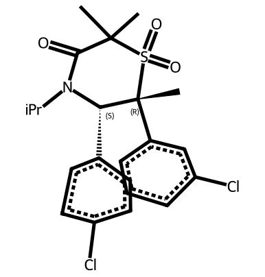 CC(C)N1C(=O)C(C)(C)S(=O)(=O)[C@](C)(c2cccc(Cl)c2)[C@@H]1c1ccc(Cl)cc1